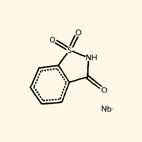 O=C1NS(=O)(=O)c2ccccc21.[Nb]